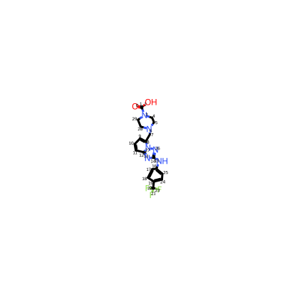 O=C(O)N1CCN(Cc2cccc3nc(Nc4ccc(C(F)(F)F)cc4)nn23)CC1